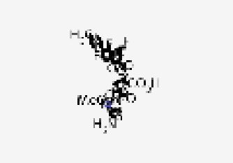 CO/N=C(\C(=O)N[C@@H]1C(=O)N2C(C(=O)O)=C(COC(=O)c3cn(CCF)c4c(F)c(N5CCN(C)CC5)c(F)cc4c3=O)CS[C@H]12)c1csc(N)n1